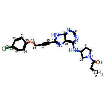 C=CC(=O)N1CCC(Nc2ncnc3[nH]c(C#CCOc4ccc(Cl)cc4)nc23)C1